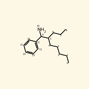 CCCCCC(CCC)C(N)c1ccccc1